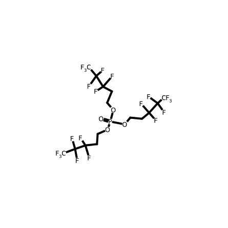 O=P(OCCC(F)(F)C(F)(F)C(F)(F)F)(OCCC(F)(F)C(F)(F)C(F)(F)F)OCCC(F)(F)C(F)(F)C(F)(F)F